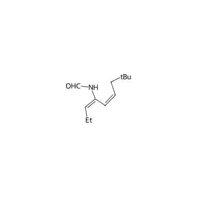 CC/C=C(\C=C/CC(C)(C)C)NC=O